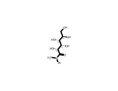 CC(C)N(N)C(=O)[C@H](O)[C@@H](O)[C@H](O)[C@H](O)CO